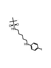 CC(C)(C)S(=O)(=O)NCCCCCNc1ccc(I)cc1